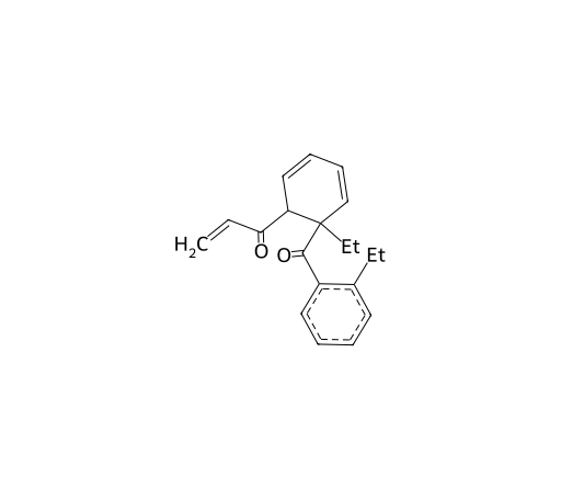 C=CC(=O)C1C=CC=CC1(CC)C(=O)c1ccccc1CC